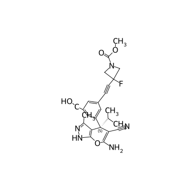 COC(=O)N1CC(F)(C#Cc2cc(CO)cc([C@@]3(C(C)C)C(C#N)=C(N)Oc4[nH]nc(C)c43)c2)C1